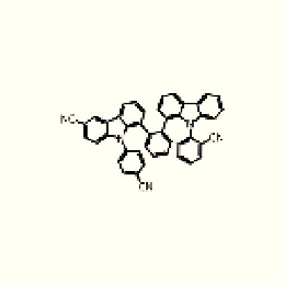 N#Cc1ccc(-n2c3ccc(C#N)cc3c3cccc(-c4ccccc4-c4cccc5c6ccccc6n(-c6ccccc6C#N)c45)c32)cc1